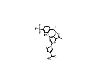 Cc1nn([C@@H](C)c2ccc(C(F)(F)F)cc2)c2c(O)nc(-n3cc(C(=O)O)cn3)nc12